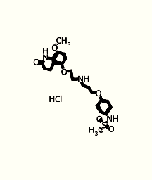 COc1ccc(OCCNCCCOc2ccc(NS(C)(=O)=O)cc2)c2c1NC(=O)CC2.Cl